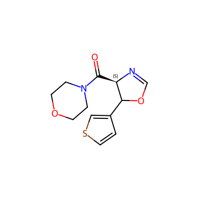 O=C([C@H]1N=COC1c1ccsc1)N1CCOCC1